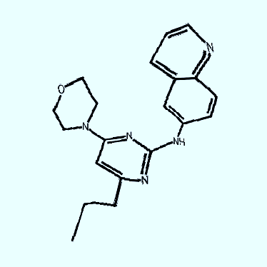 CCCc1cc(N2CCOCC2)nc(Nc2ccc3ncccc3c2)n1